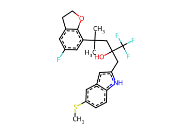 CSc1ccc2[nH]c(CC(O)(CC(C)(C)c3cc(F)cc4c3OCC4)C(F)(F)F)cc2c1